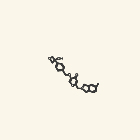 O=c1cc(CN2Cc3ccc(F)cc3C2)occ1OCc1ccc(C2(O)COC2)cc1